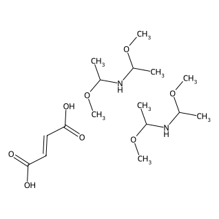 COC(C)NC(C)OC.COC(C)NC(C)OC.O=C(O)C=CC(=O)O